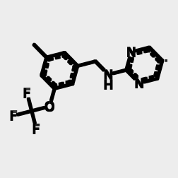 Cc1cc(CNc2nc[c]cn2)cc(OC(F)(F)F)c1